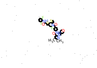 Cc1cc(C(=O)Nc2ccc(C(=O)N3CCc4cc(C(=O)Nc5c(F)cccc5F)sc4-c4sccc43)c(F)c2)c(N2CC3(CCOCC3)C2)nc1C